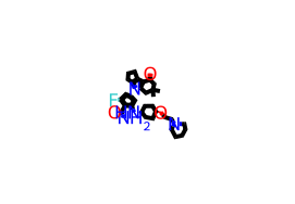 CC1(C)CC(=O)c2c3c(n(-c4cc(F)c(C(N)=O)c(N[C@H]5CC[C@H](OCCN6CCCCC6)CC5)c4)c2C1)CCC3